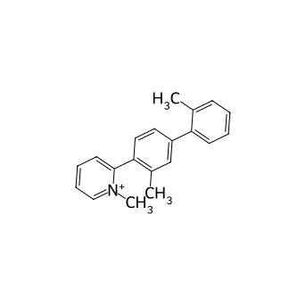 Cc1ccccc1-c1ccc(-c2cccc[n+]2C)c(C)c1